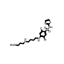 CNCCCNCCCCNc1cc(F)c(S(=O)(=O)Nc2nccs2)cc1Br